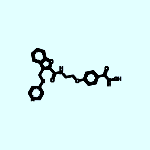 O=C(NO)c1ccc(OCCNC(=O)c2oc3ccccc3c2COc2ccncc2)cc1